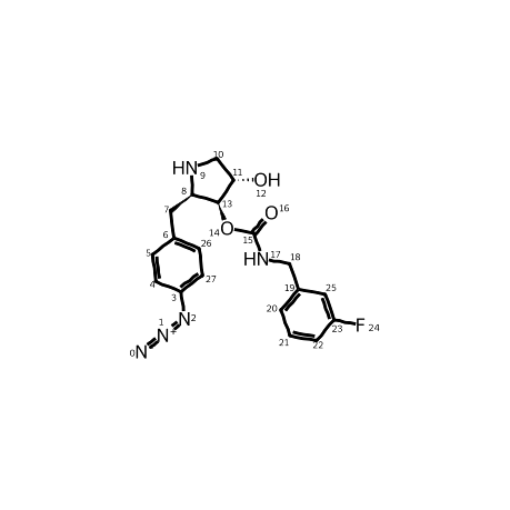 [N-]=[N+]=Nc1ccc(C[C@H]2NC[C@H](O)[C@H]2OC(=O)NCc2cccc(F)c2)cc1